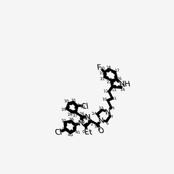 CCc1c(C(=O)N2CCN(CCCCc3c[nH]c4ccc(F)cc34)CC2)nc(-c2ccccc2Cl)n1-c1ccc(Cl)cc1